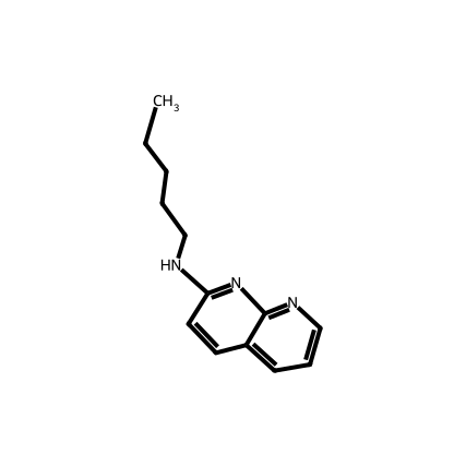 CCCCCNc1ccc2cccnc2n1